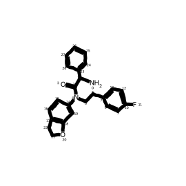 NC(C(=O)N(CCc1ccc(F)cc1)c1ccc2c(c1)OCC2)c1ccccc1